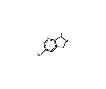 CC(C)(C)c1cc2c(nn1)NNC2